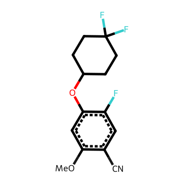 COc1cc(OC2CCC(F)(F)CC2)c(F)cc1C#N